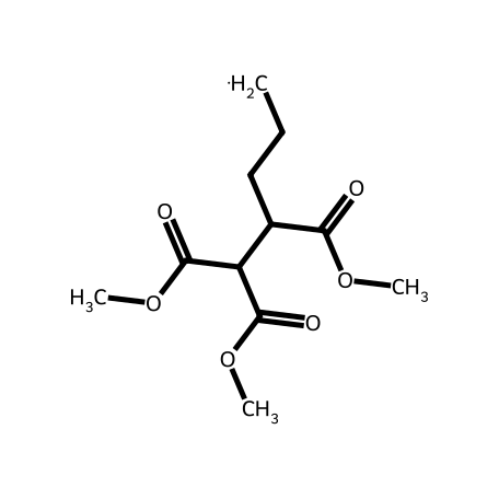 [CH2]CCC(C(=O)OC)C(C(=O)OC)C(=O)OC